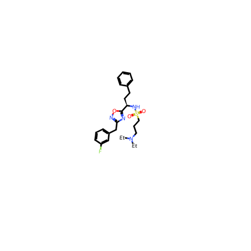 CCN(CC)CCCS(=O)(=O)N[C@H](CCc1ccccc1)c1nc(Cc2cccc(F)c2)no1